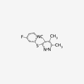 Cc1nnc(Sc2cccc(F)c2)c(C#N)c1C